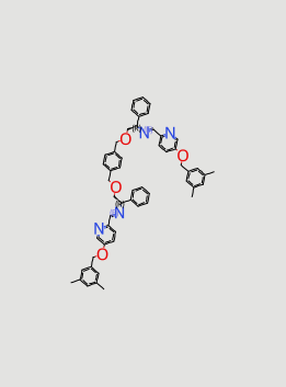 Cc1cc(C)cc(COc2ccc(/C=N/[C@@H](COCc3ccc(COC[C@H](/N=C/c4ccc(OCc5cc(C)cc(C)c5)cn4)c4ccccc4)cc3)c3ccccc3)nc2)c1